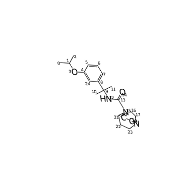 CC(C)Oc1cccc(C(C)(C)NC(=O)N2CCN3CCC2CC3)c1